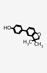 CC1(C)COc2ccc(-c3ccc(O)cc3)cc21